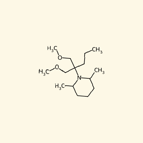 CCCC(COC)(COC)N1C(C)CCCC1C